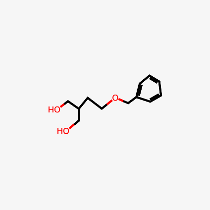 OCC(CO)CCOCc1ccccc1